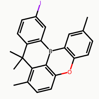 Cc1ccc2c(c1)B1c3cc(I)ccc3C(C)(C)c3c(C)ccc(c31)O2